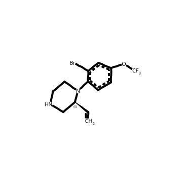 C=C[C@H]1CNCCN1c1ccc(OC(F)(F)F)cc1Br